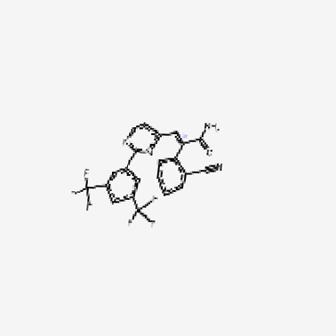 N#Cc1ccccc1/C(=C\c1ccnc(-c2cc(C(F)(F)F)cc(C(F)(F)F)c2)n1)C(N)=O